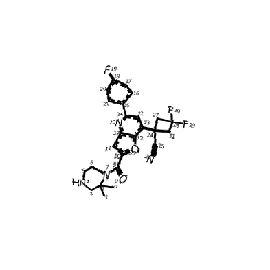 CC1(C)CNCCN1C(=O)c1cc2nc(-c3ccc(F)cc3)cc(C3(C#N)CC(F)(F)C3)c2o1